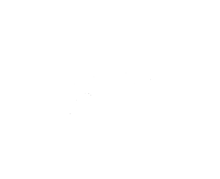 CCC(Cc1cc(C(C)C)cs1)c1nccc(C(C)(C)F)n1